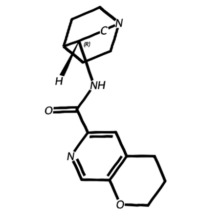 O=C(N[C@H]1CN2CCC1CC2)c1cc2c(cn1)OCCC2